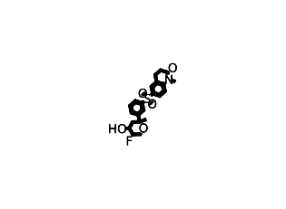 CN1C(=O)CCc2cc(S(=O)(=O)c3cccc(C4(C)CC(O)C(F)CO4)c3)ccc21